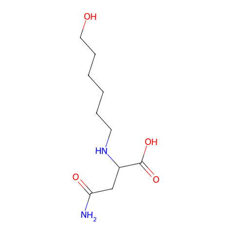 NC(=O)CC(NCCCCCCO)C(=O)O